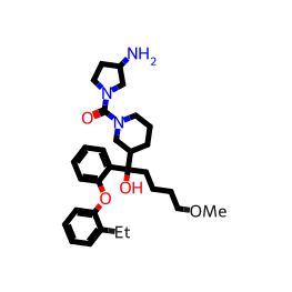 CCc1ccccc1Oc1ccccc1C(O)(CCCCOC)C1CCCN(C(=O)N2CCC(N)C2)C1